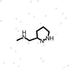 CNCC1CCCN[N]1